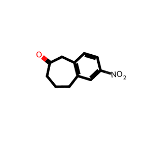 O=C1CCCc2cc([N+](=O)[O-])ccc2C1